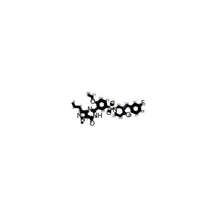 CCCc1nn(C)c2c(=O)[nH]c(-c3cc(S(=O)(=O)N4CCC(=O)/C(=C\c5cccc(F)c5)C4)ccc3OCC)nc12